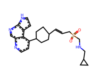 O=S(=O)(CC=CC1CCC(c2ccnc3cnc4[nH]ccc4c23)CC1)CNCC1CC1